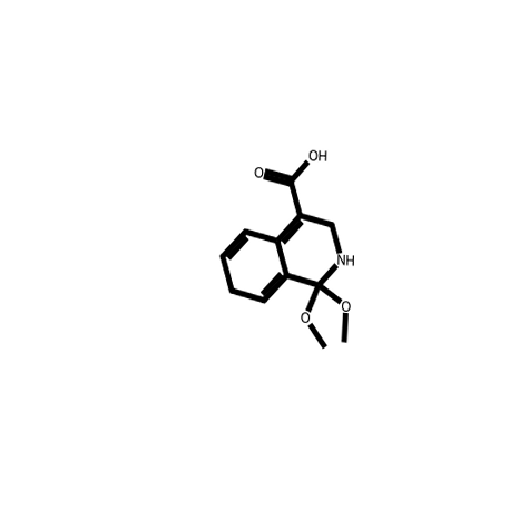 COC1(OC)NCC(C(=O)O)=C2C=CCC=C21